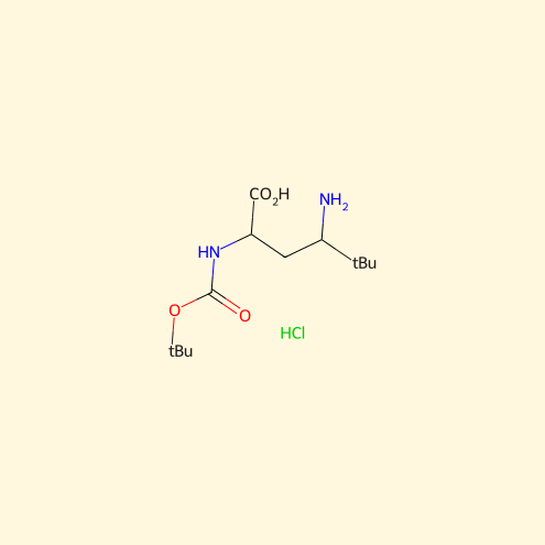 CC(C)(C)OC(=O)NC(CC(N)C(C)(C)C)C(=O)O.Cl